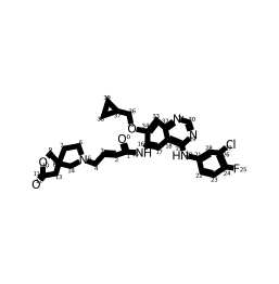 O=C(/C=C/CN1CCC2(COC(=O)C2)C1)Nc1cc2c(Nc3ccc(F)c(Cl)c3)ncnc2cc1OCC1CC1